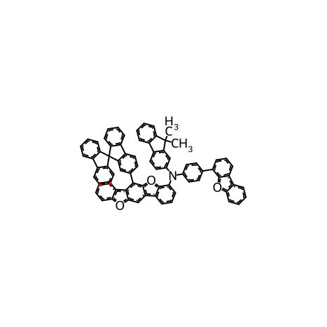 CC1(C)c2ccccc2-c2ccc(N(c3ccc(-c4cccc5c4oc4ccccc45)cc3)c3cccc4c3oc3c(-c5ccc6c(c5)C5(c7ccccc7-c7ccccc75)c5ccccc5-6)c5c(cc34)oc3ccccc35)cc21